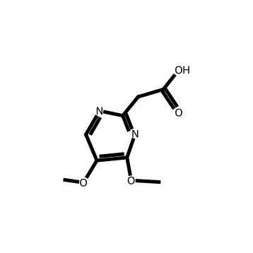 COc1cnc(CC(=O)O)nc1OC